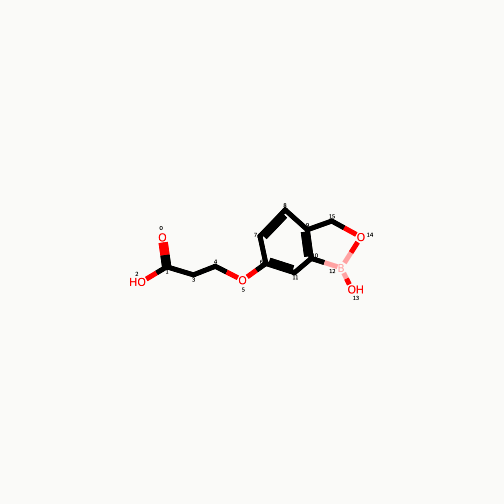 O=C(O)CCOc1ccc2c(c1)B(O)OC2